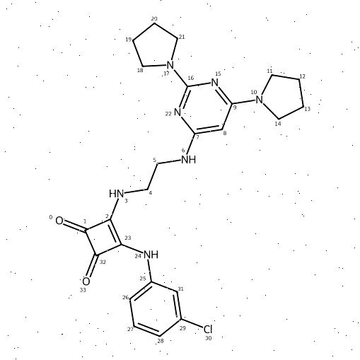 O=c1c(NCCNc2cc(N3CCCC3)nc(N3CCCC3)n2)c(Nc2cccc(Cl)c2)c1=O